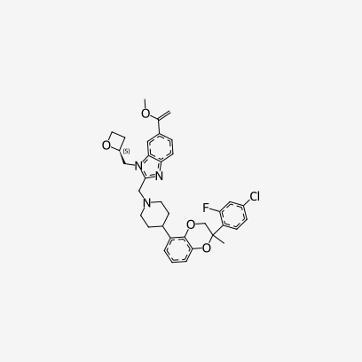 C=C(OC)c1ccc2nc(CN3CCC(c4cccc5c4OCC(C)(c4ccc(Cl)cc4F)O5)CC3)n(C[C@@H]3CCO3)c2c1